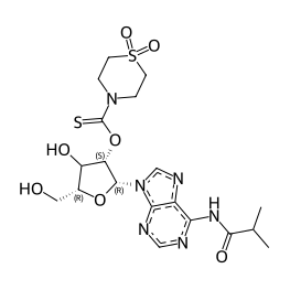 CC(C)C(=O)Nc1ncnc2c1ncn2[C@@H]1O[C@H](CO)C(O)[C@@H]1OC(=S)N1CCS(=O)(=O)CC1